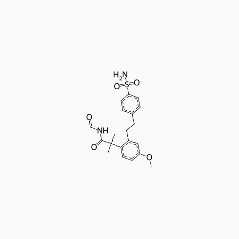 COc1ccc(C(C)(C)C(=O)NC=O)c(CCc2ccc(S(N)(=O)=O)cc2)c1